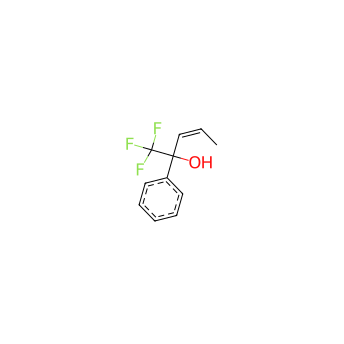 C/C=C\C(O)(c1ccccc1)C(F)(F)F